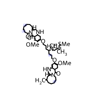 C=C1CC/C=C\CN2C(=O)C3CC(OC)=C(OC/C=C/C(CCCOC4=C(OC)CC5C(=O)N6C(C)/C=C\C=C/CC[C@H]6CNC5C4)N(C)CC(C)(C)SSC)C=C3NC[C@@H]2C1